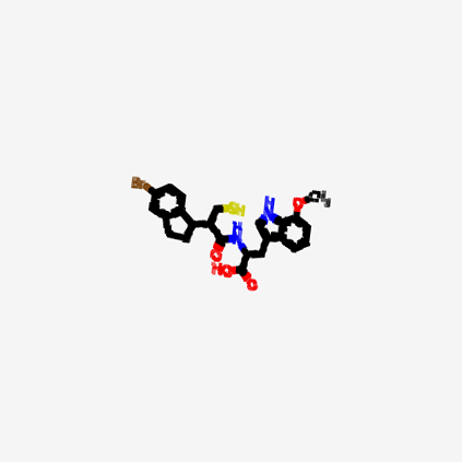 COc1cccc2c(CC(NC(=O)C(CS)C3CCc4cc(Br)ccc43)C(=O)O)c[nH]c12